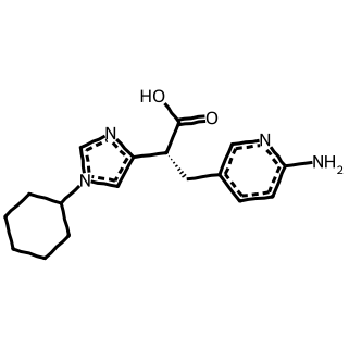 Nc1ccc(C[C@@H](C(=O)O)c2cn(C3CCCCC3)cn2)cn1